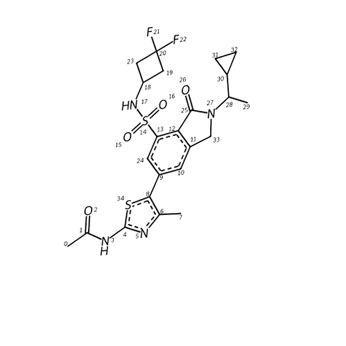 CC(=O)Nc1nc(C)c(-c2cc3c(c(S(=O)(=O)NC4CC(F)(F)C4)c2)C(=O)N(C(C)C2CC2)C3)s1